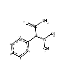 CCC(O)C(C(N)=O)c1ccccc1